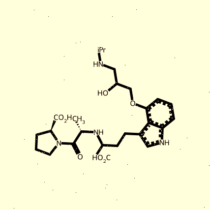 CC(C)NCC(O)COc1cccc2[nH]cc(CCC(N[C@@H](C)C(=O)N3CCC[C@H]3C(=O)O)C(=O)O)c12